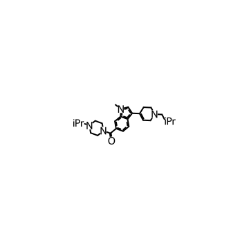 CC(C)CN1CC=C(c2cn(C)c3cc(C(=O)N4CCN(C(C)C)CC4)ccc23)CC1